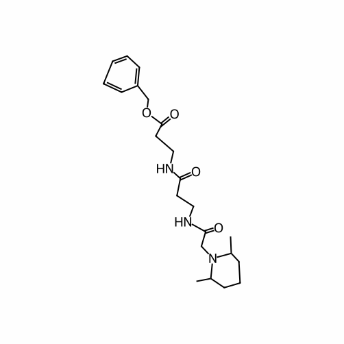 CC1CCCC(C)N1CC(=O)NCCC(=O)NCCC(=O)OCc1ccccc1